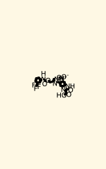 O=C(Nc1cccc(C(F)(F)F)c1)OCc1c[nH]c(-c2cc3nc(C(=O)O)c(=O)[nH]c3cc2[N+](=O)[O-])n1